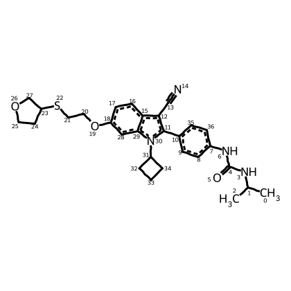 CC(C)NC(=O)Nc1ccc(-c2c(C#N)c3ccc(OCCSC4CCOC4)cc3n2C2CCC2)cc1